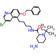 CC(C)(C)N1CC[C@H](N)C[C@H]1C(=O)NCCCCc1c(OCc2ccccc2)ccc2ncc(Br)cc12